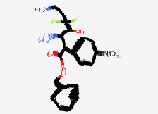 NCC(F)(F)C(O)C(N)C(C(=O)OCc1ccccc1)c1ccc([N+](=O)[O-])cc1